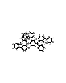 c1ccc(N(c2cccc3c2sc2ccccc23)c2ccc(N(c3ccccc3)c3cccc4c3oc3ccccc34)c3c2sc2ccc4ccccc4c23)cc1